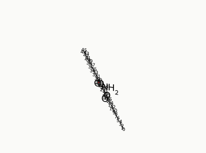 CCCCCCCCCCCCCCCCCC(=O)OCCCC(N)COC(=O)CCCCCCCCCCCCCCCCC